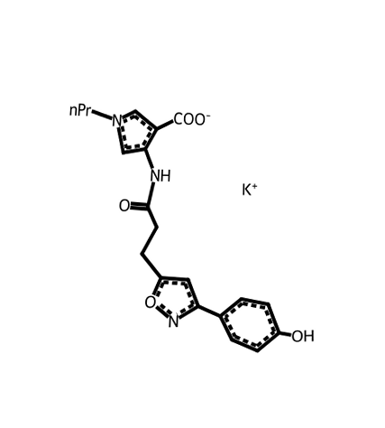 CCCn1cc(NC(=O)CCc2cc(-c3ccc(O)cc3)no2)c(C(=O)[O-])c1.[K+]